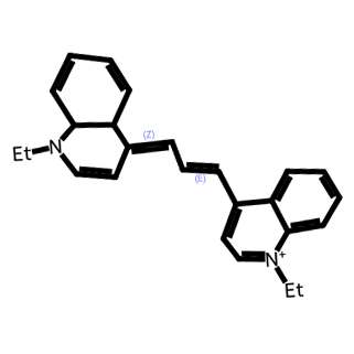 CCN1C=C/C(=C\C=C\c2cc[n+](CC)c3ccccc23)C2C=CC=CC21